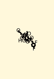 COCCCN1CN(C(C)=O)n2cc(C(=O)NCc3ccc(F)cc3F)c(=O)c(O)c2C1=O